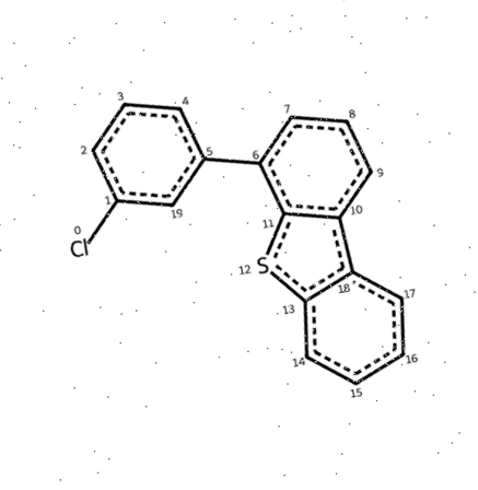 Clc1cccc(-c2cccc3c2sc2ccccc23)c1